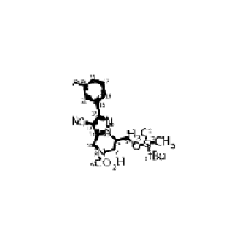 CC(C)(C)[Si](C)(C)OCC1CN(C(=O)O)Cc2c(C#N)c(-c3cccc(F)c3)nn21